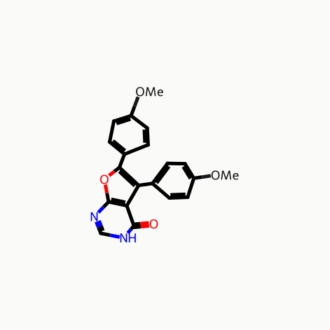 COc1ccc(-c2oc3nc[nH]c(=O)c3c2-c2ccc(OC)cc2)cc1